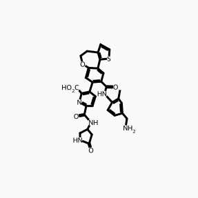 Cc1cc(CN)ccc1NC(=O)c1cc2c(cc1-c1ccc(C(=O)NC3CNC(=O)C3)nc1C(=O)O)OCCc1ccsc1-2